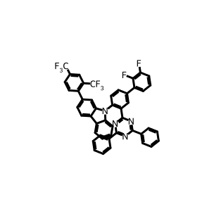 Fc1cccc(-c2ccc(-n3c4ccccc4c4ccc(-c5ccc(C(F)(F)F)cc5C(F)(F)F)cc43)c(-c3nc(-c4ccccc4)nc(-c4ccccc4)n3)c2)c1F